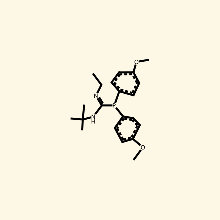 CC/N=C(/NC(C)(C)C)P(c1ccc(OC)cc1)c1ccc(OC)cc1